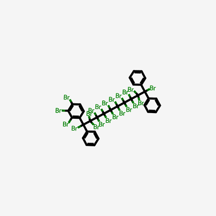 Brc1ccc(C(Br)(c2ccccc2)C(Br)(Br)C(Br)(Br)C(Br)(Br)C(Br)(Br)C(Br)(Br)C(Br)(Br)C(Br)(Br)C(Br)(Br)C(Br)(c2ccccc2)c2ccccc2)c(Br)c1Br